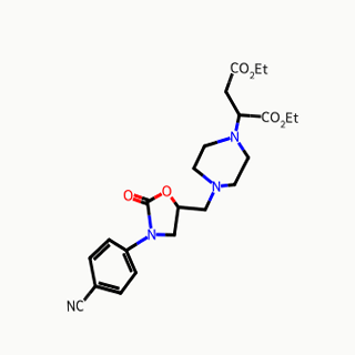 CCOC(=O)CC(C(=O)OCC)N1CCN(CC2CN(c3ccc(C#N)cc3)C(=O)O2)CC1